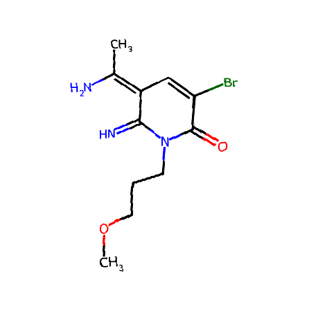 COCCCN1C(=N)/C(=C(/C)N)C=C(Br)C1=O